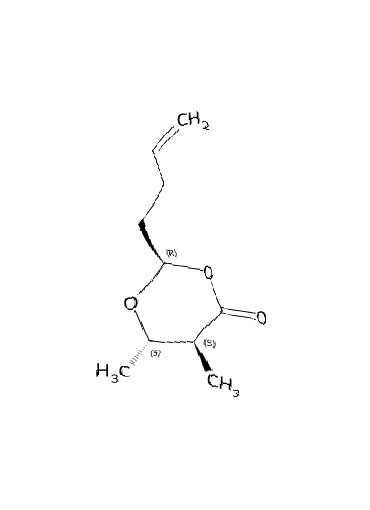 C=CCC[C@H]1OC(=O)[C@@H](C)[C@H](C)O1